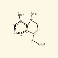 CCOC(=O)CN1CCN(C(=O)O)c2c(OC)cccc21